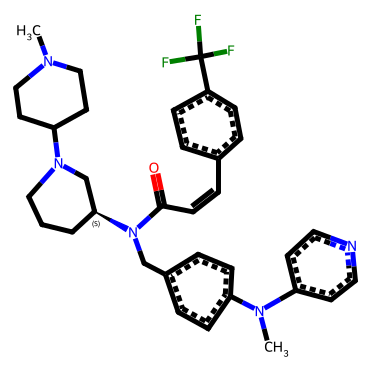 CN1CCC(N2CCC[C@H](N(Cc3ccc(N(C)c4ccncc4)cc3)C(=O)C=Cc3ccc(C(F)(F)F)cc3)C2)CC1